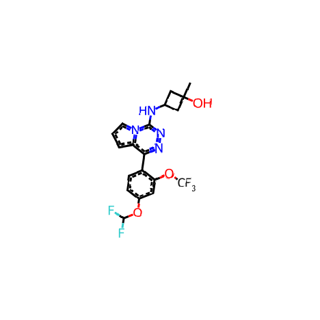 CC1(O)CC(Nc2nnc(-c3ccc(OC(F)F)cc3OC(F)(F)F)c3cccn23)C1